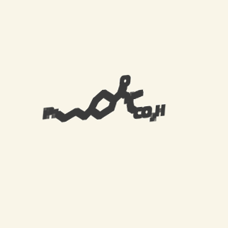 CC(C)CCCC1CCC(C(=O)N(C)CC(=O)O)CC1